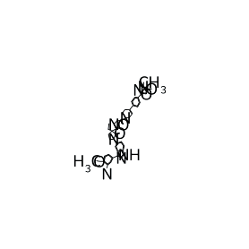 COc1ccc(-c2n[nH]c3ccc(N4CCC5(CCN(CC(=O)N6CC=C(c7ccc(-c8nn(C)c(=O)o8)cc7)CC6)C5)C4=O)cc23)cc1C#N